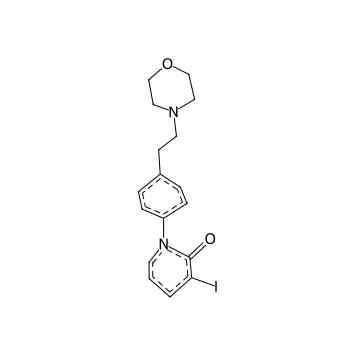 O=c1c(I)cccn1-c1ccc(CCN2CCOCC2)cc1